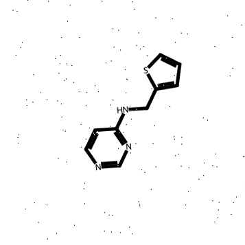 c1csc(CNc2ccncn2)c1